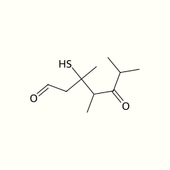 CC(C)C(=O)C(C)C(C)(S)CC=O